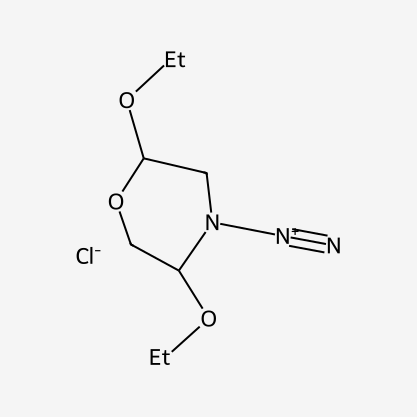 CCOC1CN([N+]#N)C(OCC)CO1.[Cl-]